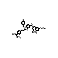 COc1cccc(CN(CCN)C(=O)c2ccc3c(c2)nc(CCc2ccc(C(=N)N)cc2)n3Cc2ccc(C)cc2)c1